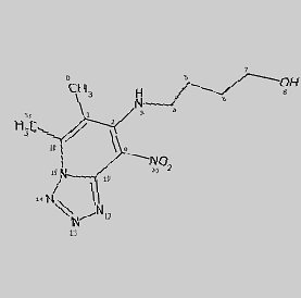 Cc1c(NCCCCO)c([N+](=O)[O-])c2nnnn2c1C